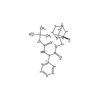 CC(C)(C)OC(=O)NC(C(=O)OC[C@H]1CN2CCC1CC2)c1ccccc1